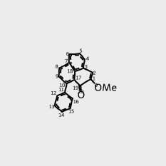 COC1=Cc2cccc3ccc(-c4ccccc4)c(c23)C1=O